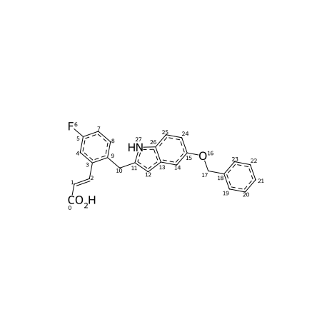 O=C(O)/C=C/c1cc(F)ccc1Cc1cc2cc(OCc3ccccc3)ccc2[nH]1